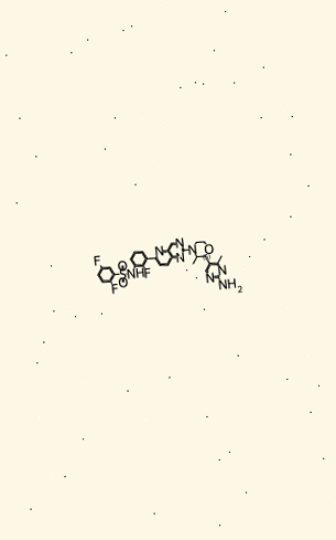 Cc1nc(N)ncc1[C@@H]1OCCN(c2ncc3nc(-c4cccc(NS(=O)(=O)c5cc(F)ccc5F)c4F)ccc3n2)C1C